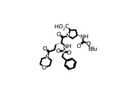 CC(C)(C)OC(=O)N[C@H]1CC(C(=O)O)N(C(=O)[C@@H](CCC(=O)N2CCOCC2)NS(=O)(=O)Cc2ccccc2)C1